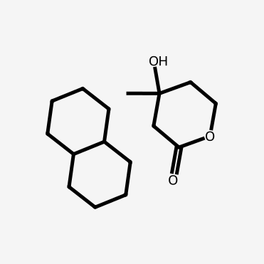 C1CCC2CCCCC2C1.CC1(O)CCOC(=O)C1